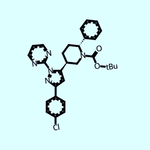 CC(C)(C)OC(=O)N1C[C@@H](c2cc(-c3ccc(Cl)cc3)nn2-c2ncccn2)CC[C@@H]1c1ccccc1